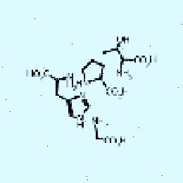 CC(O)C(N)C(=O)O.NC(Cc1c[nH]cn1)C(=O)O.NCC(=O)O.O=C(O)[C@@H]1CCCN1